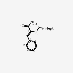 CCCCCCCCOC(=Cc1ccccc1)C(N)=O